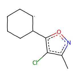 Cc1noc(C2[CH]CCCC2)c1Cl